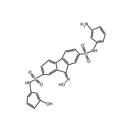 Nc1cccc(NS(=O)(=O)c2ccc3c(c2)C(=NO)c2cc(S(=O)(=O)Nc4cccc(O)c4)ccc2-3)c1